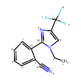 CCn1cc(C(F)(F)F)nc1-c1ccccc1C#N